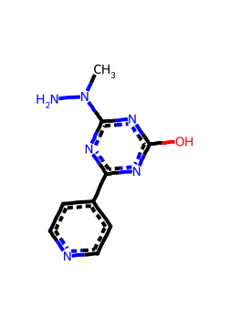 CN(N)c1nc(O)nc(-c2ccncc2)n1